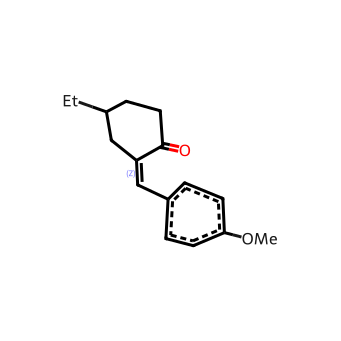 CCC1CCC(=O)/C(=C\c2ccc(OC)cc2)C1